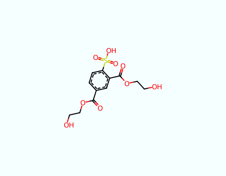 O=C(OCCO)c1ccc(S(=O)(=O)O)c(C(=O)OCCO)c1